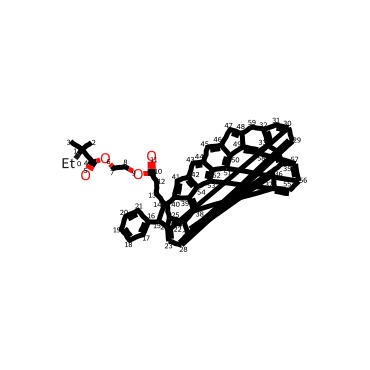 CCC(C)(C)C(=O)OCCOC(=O)CCCC(c1ccccc1)C1c2cc3c4c5c2c2c1cc1c6c2c2c5c5c4c4c(cc7cc8cc9cc(c%10c9c9c8c(c74)c5c9c2c%106)C1)C3